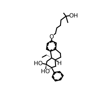 CC[C@@]12C[C@@](C)(O)[C@](O)(c3ccccc3)C[C@H]1CCc1cc(OCCCCC(C)(C)O)ccc12